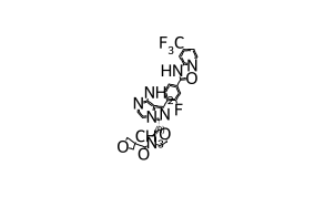 CC1(C(=O)N2CCO[C@@H](c3nc(-c4ccc(C(=O)Nc5cc(C(F)(F)F)ccn5)cc4F)c4c(N)nccn34)C2)COC1